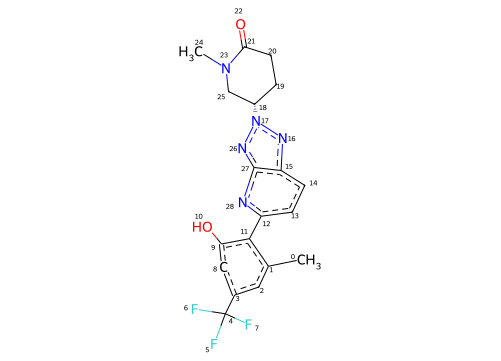 Cc1cc(C(F)(F)F)cc(O)c1-c1ccc2nn([C@H]3CCC(=O)N(C)C3)nc2n1